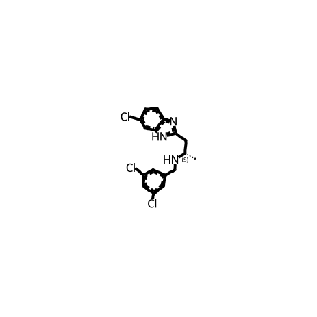 C[C@@H](Cc1nc2ccc(Cl)cc2[nH]1)NCc1cc(Cl)cc(Cl)c1